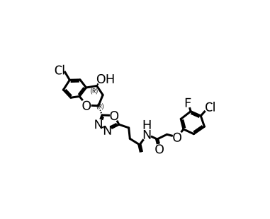 C=C(CCc1nnc([C@H]2C[C@@H](O)c3cc(Cl)ccc3O2)o1)NC(=O)COc1ccc(Cl)c(F)c1